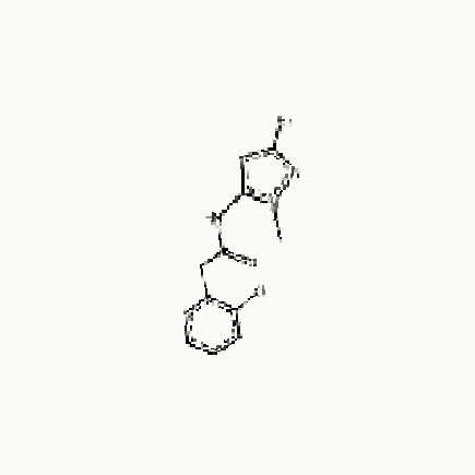 Cn1nc(Br)cc1NC(=O)Cc1ccccc1Cl